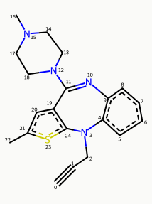 C#CCN1c2ccccc2N=C(N2CCN(C)CC2)c2cc(C)sc21